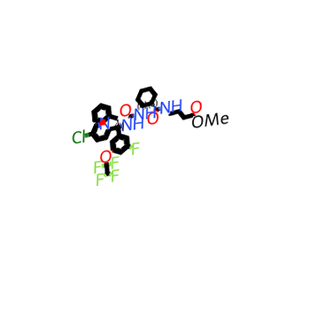 COC(=O)CCCNC(=O)[C@H]1CCCC[C@H]1NC(=O)N[C@@](Cc1ccccc1)(c1cc(F)cc(OC(F)(F)C(F)F)c1)c1ccc(Cl)cn1